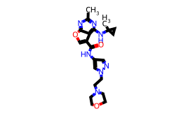 Cc1nc(NC2(C)CC2)c2c(C(=O)Nc3cnn(CCN4CCOCC4)c3)coc2n1